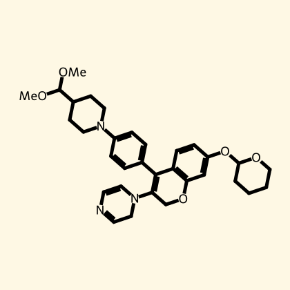 COC(OC)C1CCN(c2ccc(C3=C(N4C=CN=CC4)COc4cc(OC5CCCCO5)ccc43)cc2)CC1